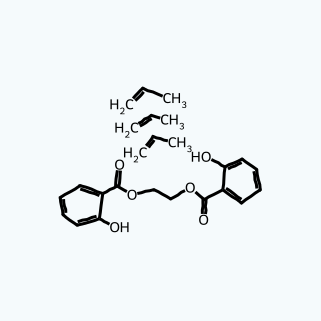 C=CC.C=CC.C=CC.O=C(OCCOC(=O)c1ccccc1O)c1ccccc1O